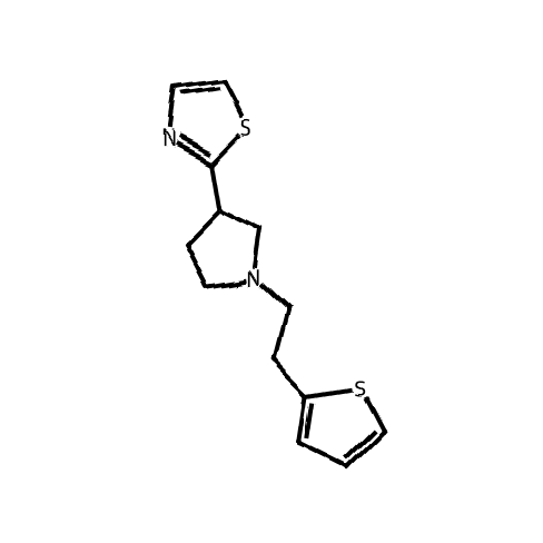 c1csc(CCN2CCC(c3nccs3)C2)c1